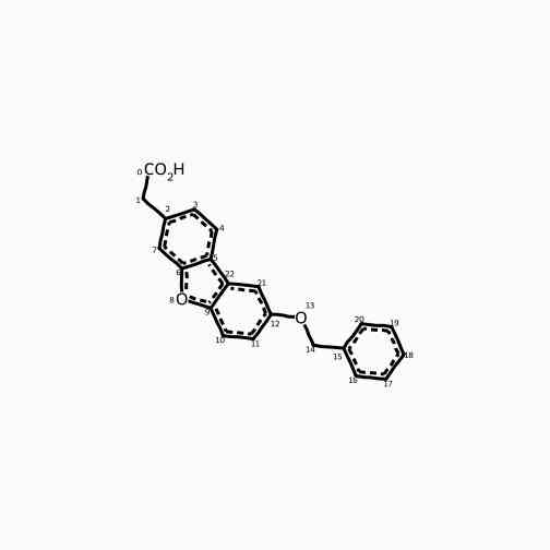 O=C(O)Cc1ccc2c(c1)oc1ccc(OCc3ccccc3)cc12